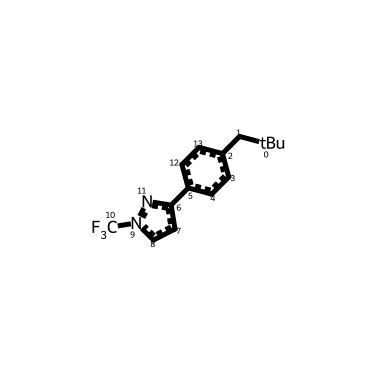 CC(C)(C)Cc1ccc(-c2ccn(C(F)(F)F)n2)cc1